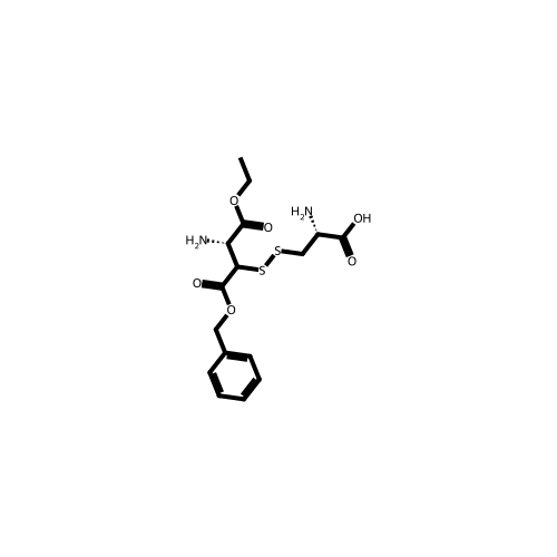 CCOC(=O)[C@@H](N)C(SSC[C@H](N)C(=O)O)C(=O)OCc1ccccc1